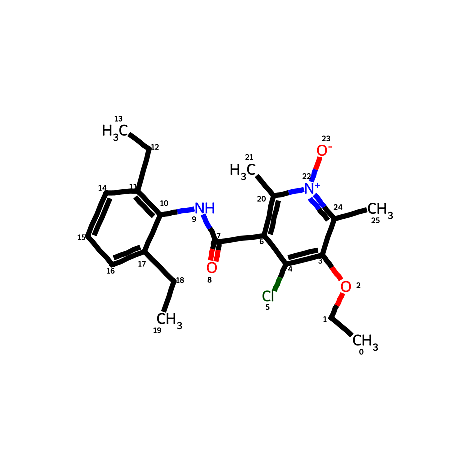 CCOc1c(Cl)c(C(=O)Nc2c(CC)cccc2CC)c(C)[n+]([O-])c1C